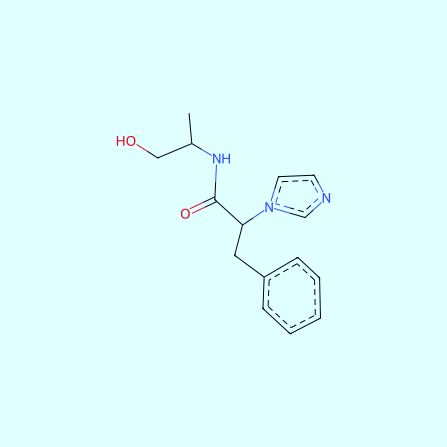 CC(CO)NC(=O)C(Cc1ccccc1)n1ccnc1